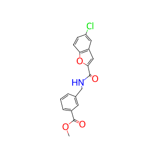 COC(=O)c1cccc(CNC(=O)c2cc3cc(Cl)ccc3o2)c1